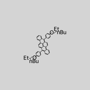 CCCCC(CC)COc1ccc(-c2c3ccccc3c3ccc4c(-c5ccc(OCC(CC)CCCC)cc5)c5ccccc5c5ccc2c3c45)cc1